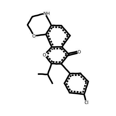 CC(C)c1oc2c3c(ccc2c(=O)c1-c1ccc(Cl)cc1)NCCO3